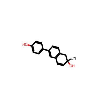 N#CC1(O)C=Cc2cc(-c3ccc(O)cc3)ccc2C1